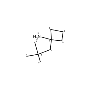 CC(C)(C)CC1(N)CCC1